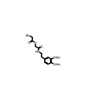 COc1ccc(CCNC(=O)COC(=O)CC(C)(C)C)cc1OC